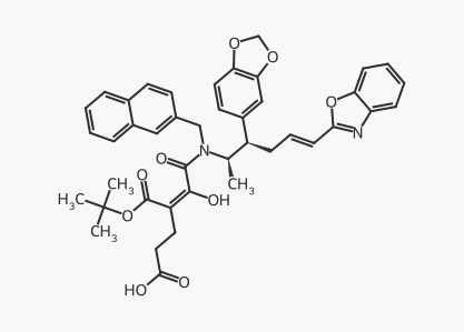 C[C@H]([C@H](CC=Cc1nc2ccccc2o1)c1ccc2c(c1)OCO2)N(Cc1ccc2ccccc2c1)C(=O)C(O)=C(CCC(=O)O)C(=O)OC(C)(C)C